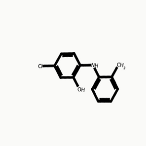 Cc1ccccc1Nc1ccc(Cl)cc1O